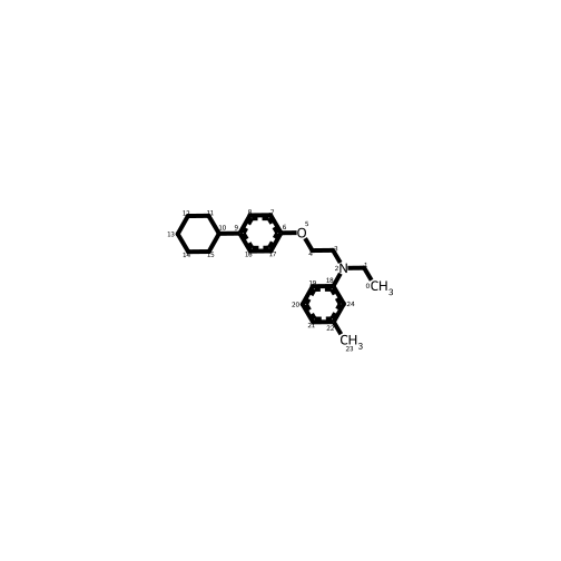 CCN(CCOc1ccc(C2CCCCC2)cc1)c1cccc(C)c1